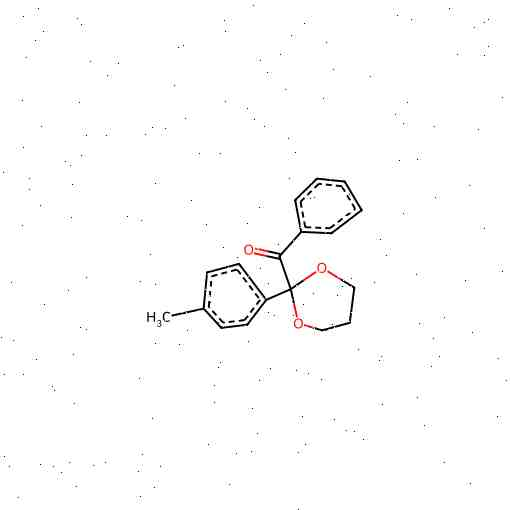 Cc1ccc(C2(C(=O)c3ccccc3)OCCCO2)cc1